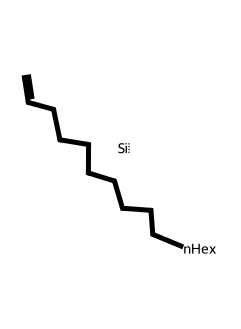 C=CCCCCCCCCCCCCCC.[Si]